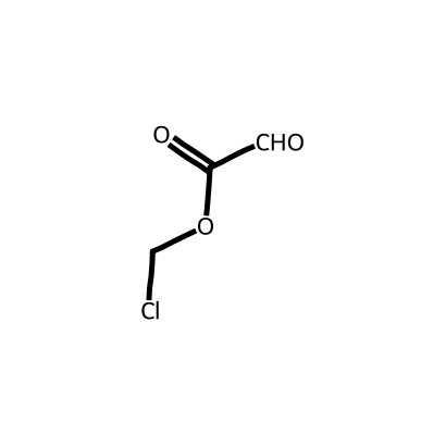 O=CC(=O)OCCl